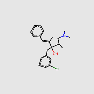 CC(=Cc1ccccc1)C(O)(Cc1cccc(Cl)c1)C(C)CN(C)C